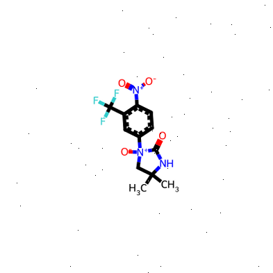 CC1(C)C[N+]([O-])(c2ccc([N+](=O)[O-])c(C(F)(F)F)c2)C(=O)N1